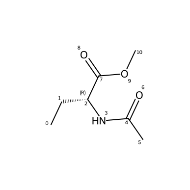 CC[C@@H](NC(C)=O)C(=O)OC